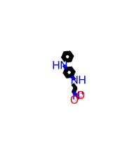 O=[N+]([O-])C=CCNc1ccc(Nc2ccccc2)cc1